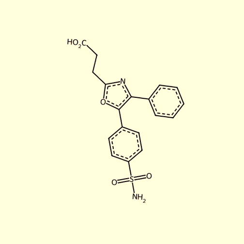 NS(=O)(=O)c1ccc(-c2oc(CCC(=O)O)nc2-c2ccccc2)cc1